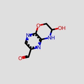 O=Cc1cnc2c(n1)NC(O)CO2